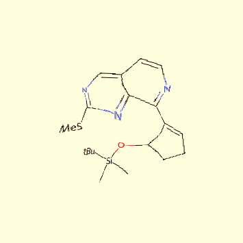 CSc1ncc2ccnc(C3=CCCC3O[Si](C)(C)C(C)(C)C)c2n1